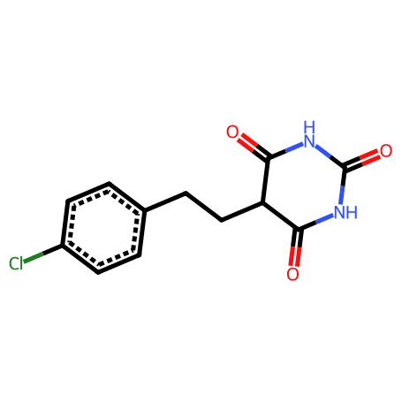 O=C1NC(=O)C(CCc2ccc(Cl)cc2)C(=O)N1